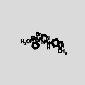 Cn1ncc2ccc(Nc3ncc(Br)c(Nc4ccccc4P(C)C)n3)cc21